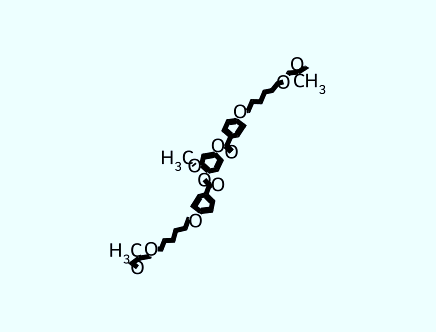 COc1cc(OC(=O)c2ccc(OCCCCCCOCC3(C)CO3)cc2)ccc1OC(=O)c1ccc(OCCCCCCOCC2(C)CO2)cc1